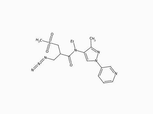 CCN(C(=O)C(CN=[N+]=[N-])CS(C)(=O)=O)c1cn(-c2cccnc2)nc1C